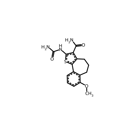 COc1cccc2c1CCCc1c-2sc(NC(N)=O)c1C(N)=O